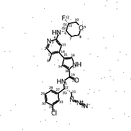 Cc1cnc(N[C@H]2CCOC[C@H]2F)cc1-c1c[nH]c(C(=O)N[C@H](CN=[N+]=[N-])c2cccc(Cl)c2)c1